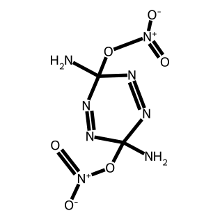 NC1(O[N+](=O)[O-])N=NC(N)(O[N+](=O)[O-])N=N1